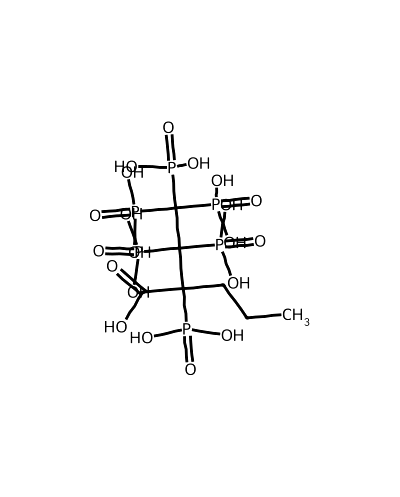 CCCC(C(=O)O)(C(C(P(=O)(O)O)(P(=O)(O)O)P(=O)(O)O)(P(=O)(O)O)P(=O)(O)O)P(=O)(O)O